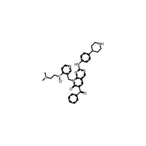 CN(C)CC[S+]([O-])c1ccncc1Cn1c(=O)c(C(=O)c2ccccc2)cc2cnc(Nc3ccc(C4CCNCC4)cc3)nc21